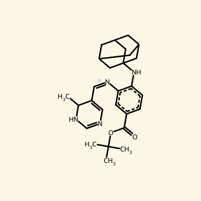 CC1NC=NC=C1/C=N\c1cc(C(=O)OC(C)(C)C)ccc1NC12CC3CC(CC(C3)C1)C2